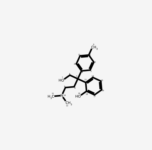 Cc1ccc(C(CO)(CCN(C)C)c2ccccc2O)cc1